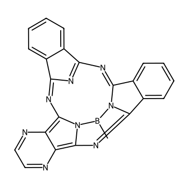 CB1n2c3c4nccnc4c2/N=C2N=C(/N=c4/c5ccccc5c(n41)=N3)c1ccccc1\2